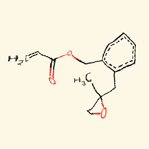 C=CC(=O)OCc1ccccc1CC1(C)CO1